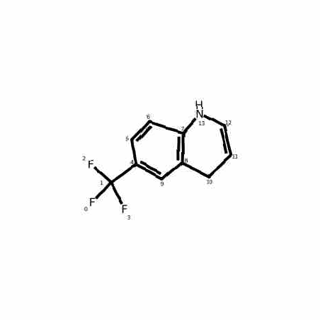 FC(F)(F)c1ccc2c(c1)CC=[C]N2